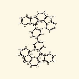 c1ccc2c(c1)oc1ccc3c4ccccc4n(-c4ccc(-c5ccc(-n6c7ccccc7c7ccc8oc9ccccc9c8c76)cc5)cc4)c3c12